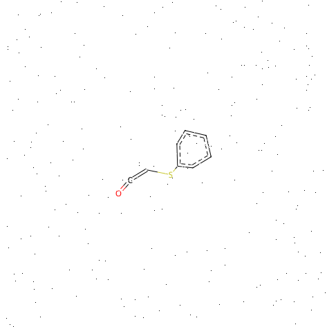 O=C=CSc1ccccc1